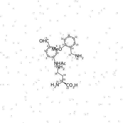 CC(=O)Nc1ccc(C=O)cc1.COc1ccccc1CN.NCC[C@H](N)C(=O)O